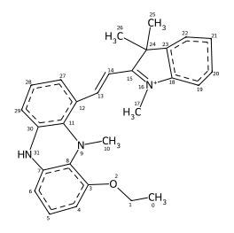 CCOc1cccc2c1N(C)c1c(/C=C/C3=[N+](C)c4ccccc4C3(C)C)cccc1N2